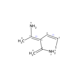 C=C(N)C(/C=C\I)=C(\C)N